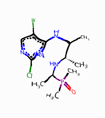 CC(Nc1nc(Cl)ncc1Br)[C@H](C)NC(C)P(C)(C)=O